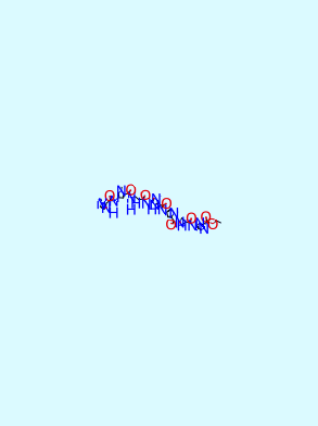 CCOC(=O)c1nc(NC(=O)C2CN(C(=O)c3cc(NC(=O)c4nc(NC(=O)CCNC(=O)c5cc(NC(=O)c6nccn6C)cn5C)cn4C)cn3C)C2)cn1C